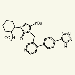 CCCCc1cn(C2CCCCC2C(=O)O)c(=O)n1Cc1cnccc1-c1ccc(-c2nnn[nH]2)cc1